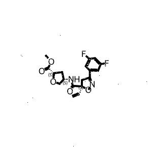 C=C[C@]1(C(=O)N[C@@H]2CO[C@H](C(=O)OC)C2)CC(c2cc(F)cc(F)c2)=NO1